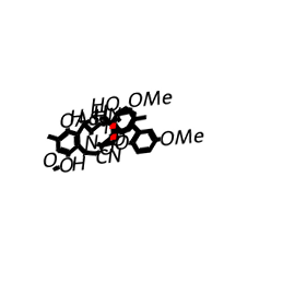 COc1ccc2oc3c(c2c1)CCN[C@]31CS[C@@H]2c3c(OC(C)=O)c(C)c4c(c3[C@H](COC1=O)N1C2[C@H]2c3c(cc(C)c(OC)c3O)CC1(C#N)CN2C)OCO4